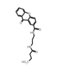 O=C(O)CCC(=O)NCCCNC(=O)c1ccc2oc3ccccc3c(=O)c2c1